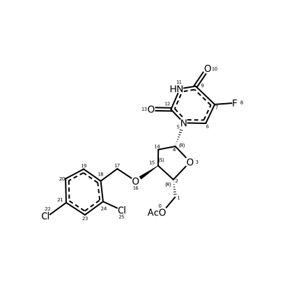 CC(=O)OC[C@H]1O[C@@H](n2cc(F)c(=O)[nH]c2=O)C[C@@H]1OCc1ccc(Cl)cc1Cl